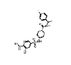 CCNc1ncc(S(=O)(=O)N[C@H]2CC[C@H](C(=O)N[C@H](C)c3ccc(F)cc3)CC2)cc1Cl